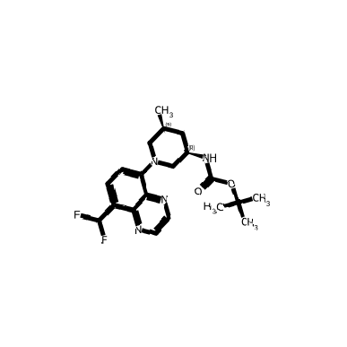 C[C@H]1C[C@@H](NC(=O)OC(C)(C)C)CN(c2ccc(C(F)F)c3nccnc23)C1